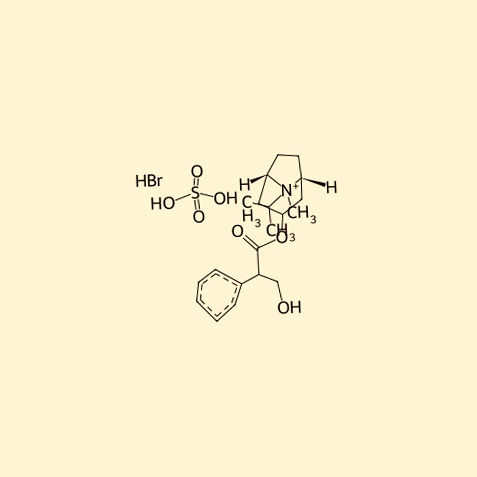 Br.CC(C)[N+]1(C)[C@@H]2CC[C@H]1CC(OC(=O)C(CO)c1ccccc1)C2.O=S(=O)(O)O